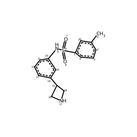 Cc1cccc(S(=O)(=O)Nc2cccc(C3CNC3)c2)c1